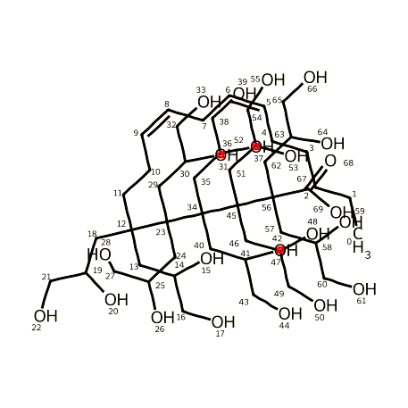 CCCCC/C=C\C/C=C\CCC(CC(O)CO)(CC(O)CO)C(CC(O)CO)(CC(O)CO)C(CC(O)CO)(CC(O)CO)C(CC(O)CO)(CC(O)CO)C(CC(O)CO)(CC(O)CO)C(=O)O